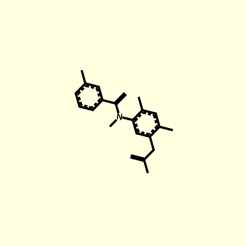 C=C(C)Cc1cc(N(C)C(=C)c2cccc(C)c2)c(C)cc1C